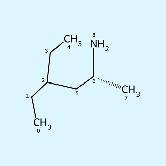 CCC(CC)C[C@@H](C)N